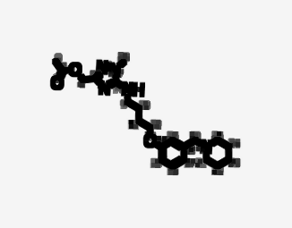 CC(=O)OCc1nc(NCCCCOc2cccc(CN3CCCCC3)c2)n(C)n1